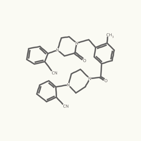 Cc1ccc(C(=O)N2CCN(c3ccccc3C#N)CC2)cc1CN1CCN(c2ccccc2C#N)CC1=O